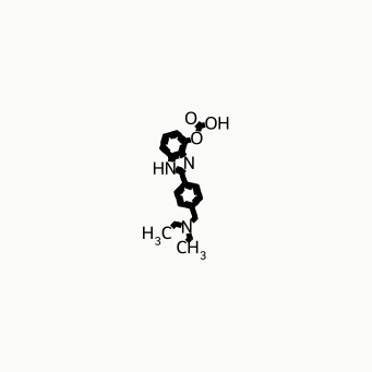 CCN(CC)Cc1ccc(-c2nc3c(OC(=O)O)cccc3[nH]2)cc1